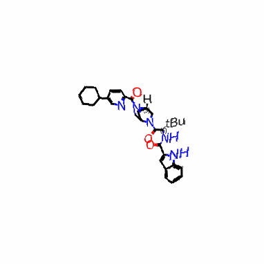 CC(C)(C)[C@H](NC(=O)c1cc2ccccc2[nH]1)C(=O)N1C[C@@H]2CC1CN2C(=O)c1ccc(C2CCCCC2)cn1